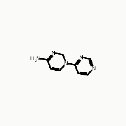 NC1=NCN(c2ccncn2)C=C1